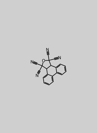 N#CC1(C#N)OC(C#N)(C#N)C2c3ccccc3-c3ccccc3C21